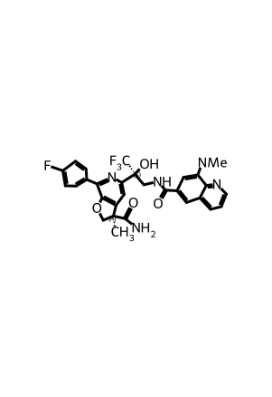 CNc1cc(C(=O)NC[C@](O)(c2cc3c(c(-c4ccc(F)cc4)n2)OC[C@]3(C)C(N)=O)C(F)(F)F)cc2cccnc12